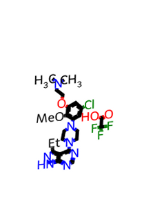 CCc1n[nH]c2ncnc(N3CCN(c4cc(Cl)cc(OCCN(C)C)c4OC)CC3)c12.O=C(O)C(F)(F)F